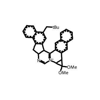 COC1(OC)C2c3cc4ccccc4cc3C3=[N+](C=NC4Cc5c(cc(CC(C)(C)C)c6ccccc56)C34)C21